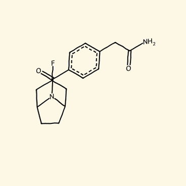 NC(=O)Cc1ccc(C(=O)N2C3CCC2CC(F)C3)cc1